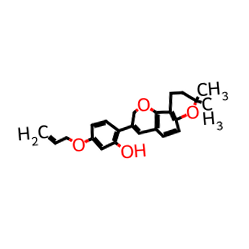 C=CCOc1ccc(C2=Cc3ccc4c(c3OC2)CCC(C)(C)O4)c(O)c1